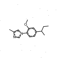 CCC(C)c1ccc(-n2cnc(C)c2)c(OC)c1